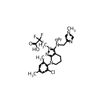 CCCN(Cc1cn(C)cn1)c1c2c(nn1C)N(c1c(C)cc(C)cc1Cl)CCC2.O=C(O)C(F)(F)F